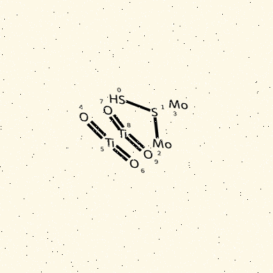 S[S][Mo].[Mo].[O]=[Ti]=[O].[O]=[Ti]=[O]